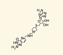 Nc1nc2ccc(CNCCN3CCC(SC[C@H]4O[C@@H](n5cnc6c(N)ncnc65)[C@@H](O)C4O)CC3)nc2c(=O)[nH]1